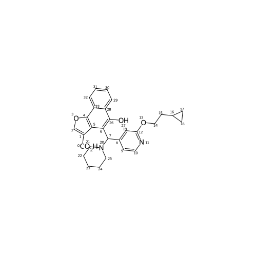 O=C(O)c1coc2c1c(C(c1ccnc(OCCC3CC3)c1)N1CCCCC1)c(O)c1ccccc12